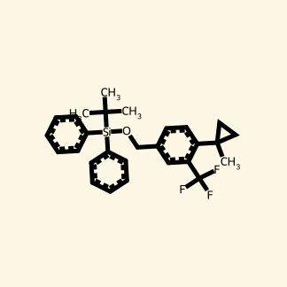 CC1(c2ccc(CO[Si](c3ccccc3)(c3ccccc3)C(C)(C)C)cc2C(F)(F)F)CC1